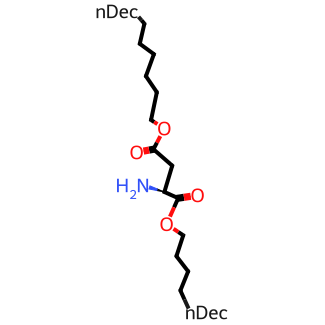 CCCCCCCCCCCCCCCCOC(=O)C[C@H](N)C(=O)OCCCCCCCCCCCCCC